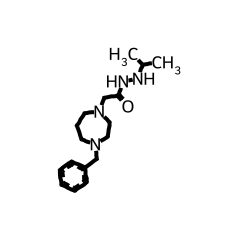 CC(C)NNC(=O)CN1CCCN(Cc2ccccc2)CC1